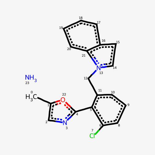 Cc1cnc(-c2c(Cl)cccc2Cn2ccc3ccccc32)o1.N